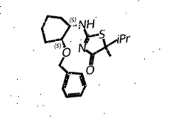 CC(C)C1(C)SC(N[C@H]2CCCC[C@@H]2OCc2ccccc2)=NC1=O